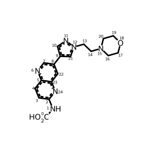 O=C(O)Nc1ccc2ncc(-c3cnn(CCN4CCOCC4)c3)cc2n1